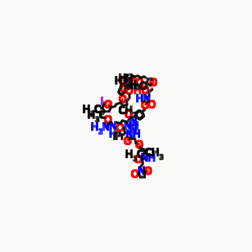 C=C1CC(CC[C@]23CCC(O2)[C@H]2C[C@@H](O3)[C@H]3OC(CC(=O)C[C@H]4CO[C@H](CC(O)CNC(=O)OCc5ccc(NC(=O)C(CCCNC(N)=O)NC(=O)[C@@H](NC(=O)CCOCCC(C)(C)NC(=O)CCN6C(=O)C=CC6=O)C(C)C)cc5)[C@@H]4OC)CC[C@@H]3O2)OC1CCC1C[C@@H](C)C(=C)[C@@H](I)O1